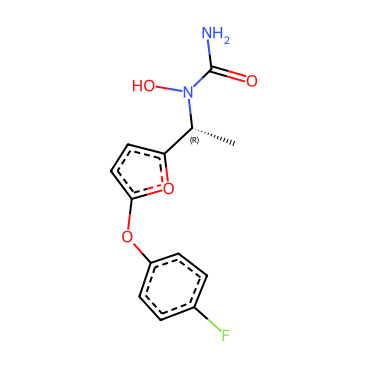 C[C@H](c1ccc(Oc2ccc(F)cc2)o1)N(O)C(N)=O